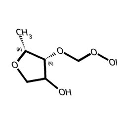 C[C@H]1OCC(O)[C@H]1OCOO